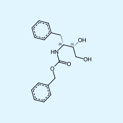 O=C(N[C@H](Cc1ccccc1)[C@H](O)CO)OCc1ccccc1